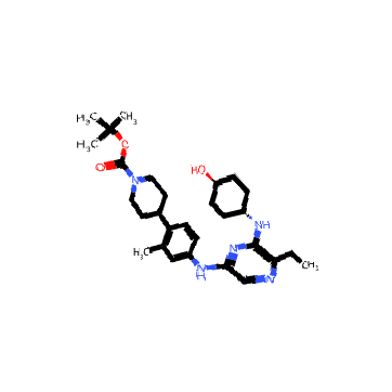 CCc1ncc(Nc2ccc(C3CCN(C(=O)OC(C)(C)C)CC3)c(C)c2)nc1N[C@H]1CC[C@H](O)CC1